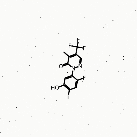 Cc1c(C(F)(F)F)cnn(-c2cc(O)c(I)cc2F)c1=O